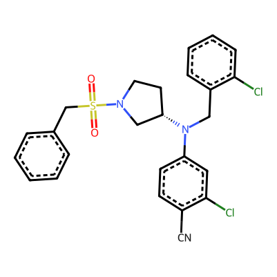 N#Cc1ccc(N(Cc2ccccc2Cl)[C@H]2CCN(S(=O)(=O)Cc3ccccc3)C2)cc1Cl